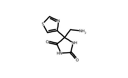 NCC1(c2cscn2)NC(=O)NC1=O